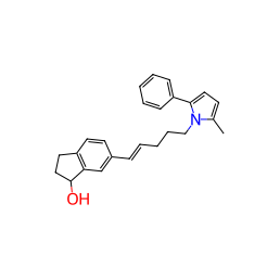 Cc1ccc(-c2ccccc2)n1CCC/C=C/c1ccc2c(c1)C(O)CC2